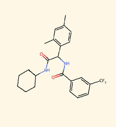 Cc1ccc(C(NC(=O)c2cccc(C(F)(F)F)c2)C(=O)NC2CCCCC2)c(C)c1